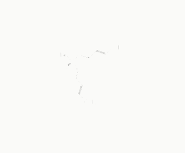 CC=CCOP(=O)(Br)OCC=CC